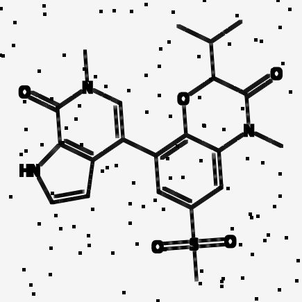 CC(C)C1Oc2c(-c3cn(C)c(=O)c4[nH]ccc34)cc(S(C)(=O)=O)cc2N(C)C1=O